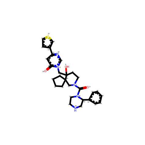 O=C(N1CCC(O)(Cn2cnc(-c3ccsc3)cc2=O)C2(CCCC2)C1)N1CCNCC1c1ccccc1